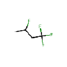 [CH2]C(F)CC(F)(F)F